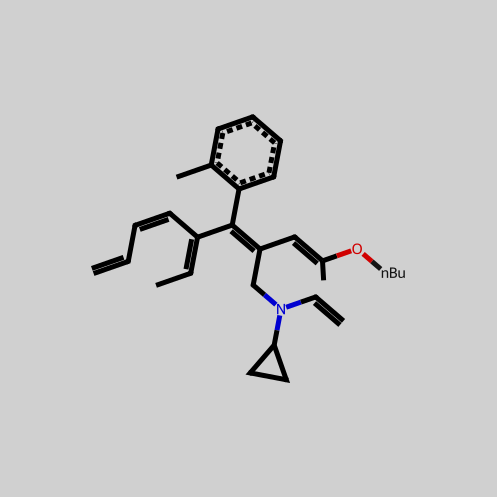 C=C\C=C/C(=C\C)C(=C(/C=C(\C)OCCCC)CN(C=C)C1CC1)/c1ccccc1C